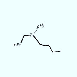 CCCC[C@H](C)CCCI